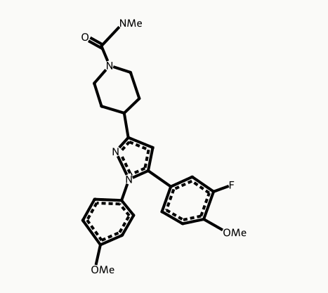 CNC(=O)N1CCC(c2cc(-c3ccc(OC)c(F)c3)n(-c3ccc(OC)cc3)n2)CC1